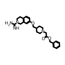 N=C(N)N1CCc2ccc(OCC3CCN(CC(=O)OCc4ccccc4)CC3)cc2C1